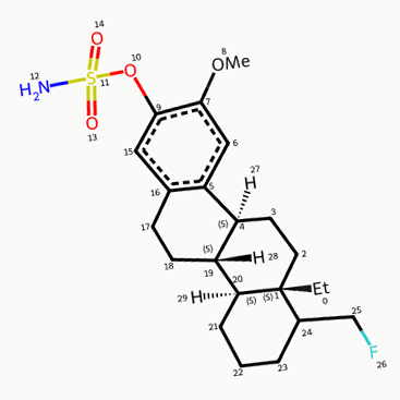 CC[C@]12CC[C@@H]3c4cc(OC)c(OS(N)(=O)=O)cc4CC[C@H]3[C@@H]1CCCC2CF